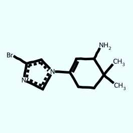 CC1(C)CCC(n2cnc(Br)c2)=CC1N